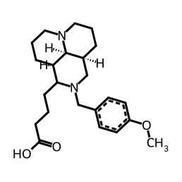 COc1ccc(CN2C[C@@H]3CCCN4CCC[C@H](C2CCCC(=O)O)[C@H]34)cc1